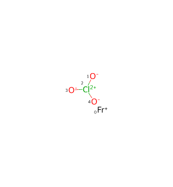 [Fr+].[O-][Cl+2]([O-])[O-]